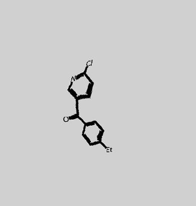 CCc1ccc(C(=O)c2ccc(Cl)nc2)cc1